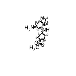 CS(=O)(=O)c1ccc(Nc2cc(N)nc3ncnn23)cc1